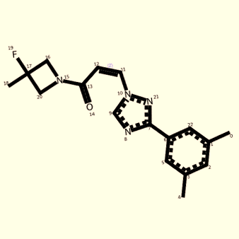 Cc1cc(C)cc(-c2ncn(/C=C\C(=O)N3CC(C)(F)C3)n2)c1